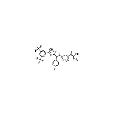 CC(C)NC(=O)CN(C)C1CCC(O[C@H](C)c2cc(C(F)(F)F)cc(C(F)(F)F)c2)C1c1ccc(F)cc1